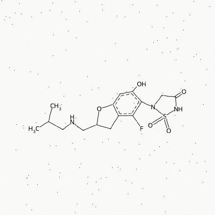 CC(C)CNCC1Cc2c(cc(O)c(N3CC(=O)NS3(=O)=O)c2F)O1